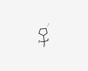 C[C@H]1CCC(C(F)(F)F)C1